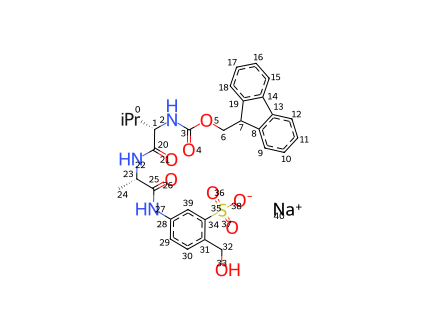 CC(C)[C@H](NC(=O)OCC1c2ccccc2-c2ccccc21)C(=O)N[C@@H](C)C(=O)Nc1ccc(CO)c(S(=O)(=O)[O-])c1.[Na+]